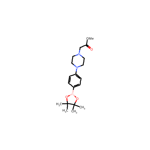 COC(=O)CN1CCN(c2ccc(B3OC(C)(C)C(C)(C)O3)cc2)CC1